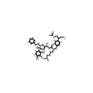 CC(=O)O/N=C(/N)c1ccc(CN(CCCCN(C)C)C(=O)CNC(=O)CN(CCc2ccccc2)S(=O)(=O)c2ccc(Cl)c(C)c2Cl)cc1